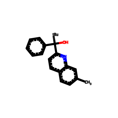 Cc1ccc2ccc(C(O)(c3ccccc3)C(C)(C)C)nc2c1